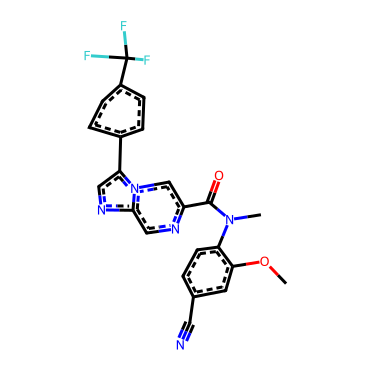 COc1cc(C#N)ccc1N(C)C(=O)c1cn2c(-c3ccc(C(F)(F)F)cc3)cnc2cn1